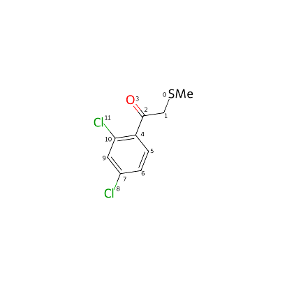 CSCC(=O)c1ccc(Cl)cc1Cl